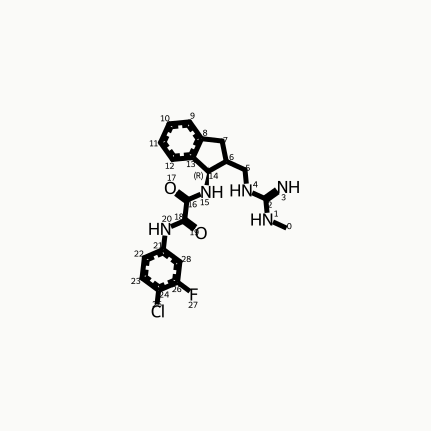 CNC(=N)NCC1Cc2ccccc2[C@@H]1NC(=O)C(=O)Nc1ccc(Cl)c(F)c1